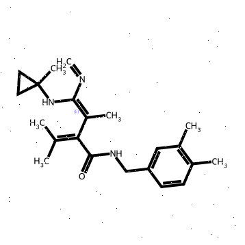 C=N/C(NC1(C)CC1)=C(\C)C(C(=O)NCc1ccc(C)c(C)c1)=C(C)C